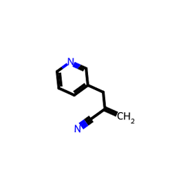 C=C(C#N)Cc1cccnc1